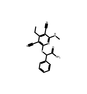 CCc1c(C#N)c(NC)nc(SC(C(N)=O)c2ccccc2)c1C#N